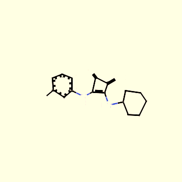 C=C1C(=C)C(NC2CCCCC2)=C1Nc1cccc(C)c1